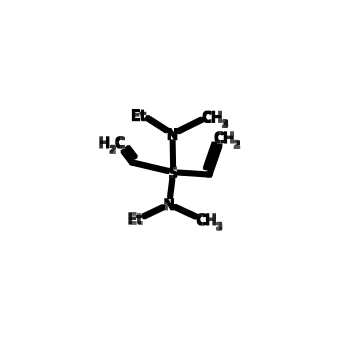 C=CS(C=C)(N(C)CC)N(C)CC